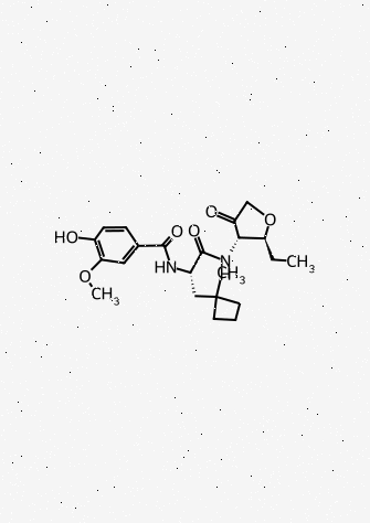 CC[C@@H]1OCC(=O)[C@H]1NC(=O)[C@H](CC1(C)CCC1)NC(=O)c1ccc(O)c(OC)c1